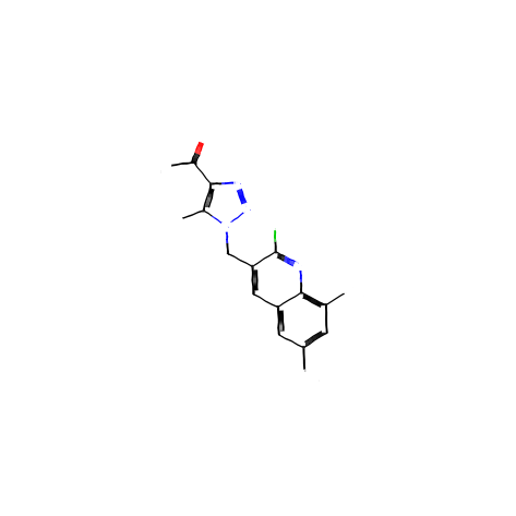 CC(=O)c1nnn(Cc2cc3cc(C)cc(C)c3nc2Cl)c1C